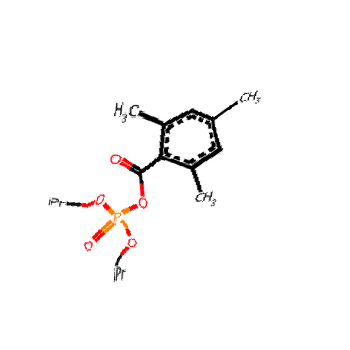 Cc1cc(C)c(C(=O)OP(=O)(OC(C)C)OC(C)C)c(C)c1